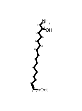 CCCCCCCC/C=C\CCCCCCCCCCCCC(O)CN